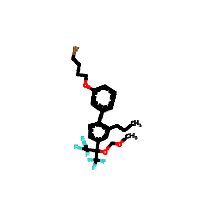 CCCc1cc(C(OCOC)(C(F)(F)F)C(F)(F)F)ccc1-c1cccc(OCCCCBr)c1